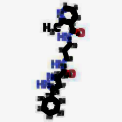 Cc1ncccc1C(=O)NCCCNC(=O)c1cc(-c2ccccc2)[nH]n1